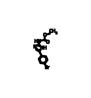 CCOC(=O)Nc1ncc(-c2ccc(Br)cc2)[nH]1